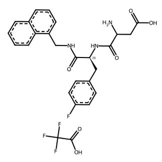 NC(CC(=O)O)C(=O)N[C@@H](Cc1ccc(F)cc1)C(=O)NCc1cccc2ccccc12.O=C(O)C(F)(F)F